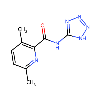 Cc1ccc(C)c(C(=O)Nc2nnn[nH]2)n1